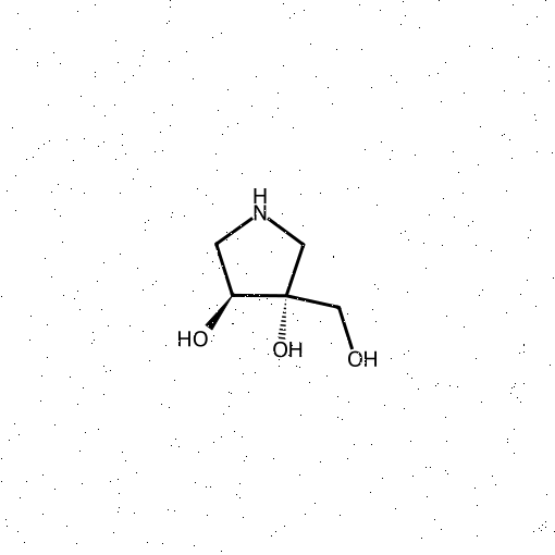 OC[C@]1(O)CNC[C@@H]1O